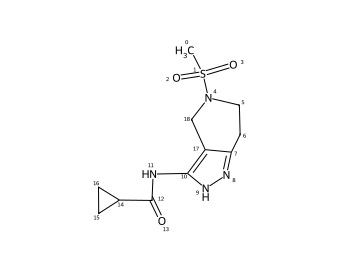 CS(=O)(=O)N1CCc2n[nH]c(NC(=O)C3CC3)c2C1